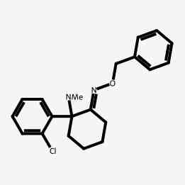 CNC1(c2ccccc2Cl)CCCCC1=NOCc1ccccc1